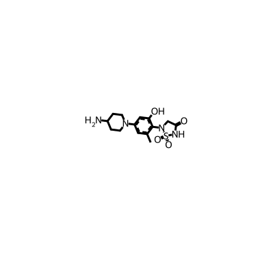 Cc1cc(N2CCC(N)CC2)cc(O)c1N1CC(=O)NS1(=O)=O